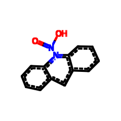 O=NO.c1ccc2nc3ccccc3cc2c1